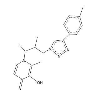 C=C1C=CN(C(C)C(C)Cn2cc(-c3ccc(C)cc3)nn2)C(C)=C1O